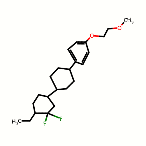 CCC1CCC(C2CCC(c3ccc(OCCOC)cc3)CC2)CC1(F)F